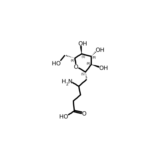 NC(CCC(=O)O)C[C@@H]1O[C@H](CO)[C@@H](O)[C@H](O)[C@H]1O